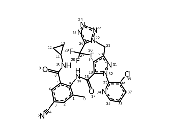 Cc1cc(C#N)cc(C(=O)NC2CC2)c1NC(=O)c1cc(Cn2nnnc2C(F)(F)F)nn1-c1ncccc1Cl